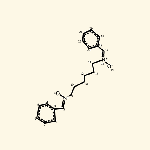 [O-]/[N+](=C\c1ccccc1)CCCCCC/[N+]([O-])=C\c1ccccc1